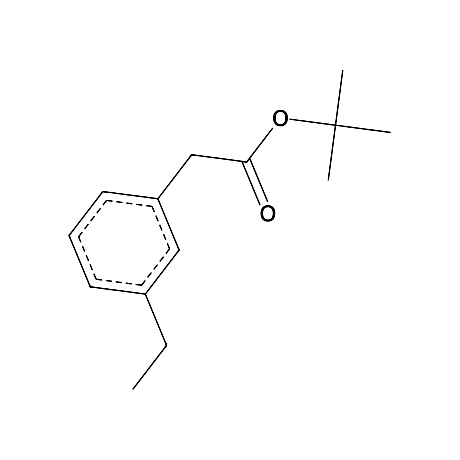 CCc1cccc(CC(=O)OC(C)(C)C)c1